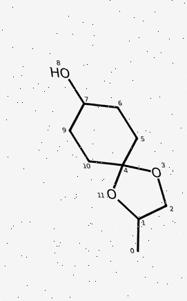 CC1COC2(CCC(O)CC2)O1